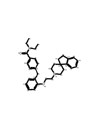 CCN(CC)C(=O)c1ccc(Cc2ccccc2OCCN2CCC3(CCc4ccccc43)CC2)cc1